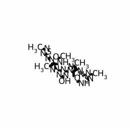 CC(=O)Nc1c(N=Nc2nc(C)ns2)c(C)nn1-c1nc(O)nc(-n2nc(C)c(N=Nc3nc(C)ns3)c2COC=N)n1